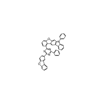 c1ccc(-c2nc(-c3ccc4oc5ccccc5c4c3)nc(-c3cccc4oc5cc6c(cc5c34)c3ccccc3n6-c3ccccc3)n2)cc1